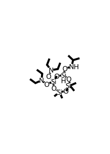 CCN(CC)O[Si]1(ON(CC)CC)O[SiH](ONC(C)C)O[Si](C)(C)O[Si](C)(C)O1